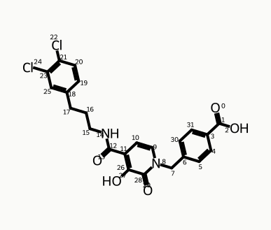 O=C(O)c1ccc(Cn2ccc(C(=O)NCCCc3ccc(Cl)c(Cl)c3)c(O)c2=O)cc1